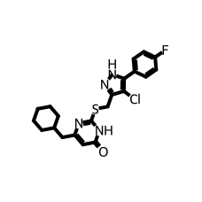 O=c1cc(CC2CCCCC2)nc(SCc2n[nH]c(-c3ccc(F)cc3)c2Cl)[nH]1